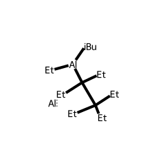 CC[CH](C)[Al]([CH2]C)[C](CC)(CC)C(CC)(CC)CC.[Al]